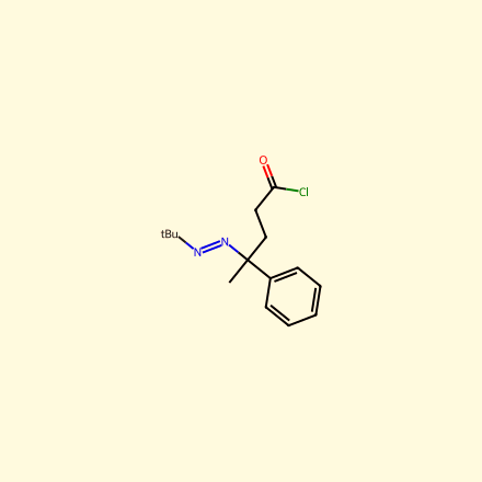 CC(C)(C)N=NC(C)(CCC(=O)Cl)c1ccccc1